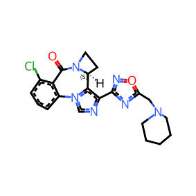 O=C1c2c(Cl)cccc2-n2cnc(-c3noc(CN4CCCCC4)n3)c2[C@@H]2CCN12